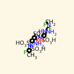 C=C(F)/N=C(F)\C=C(/N)Nc1ccc(S(=O)(=O)O)c(/N=N/c2c(S(=O)(=O)O)cc3cc(S(=O)(=O)O)c(/N=N/c4cc(F)c(C)cc4S(=O)(=O)O)c(N)c3c2O)c1